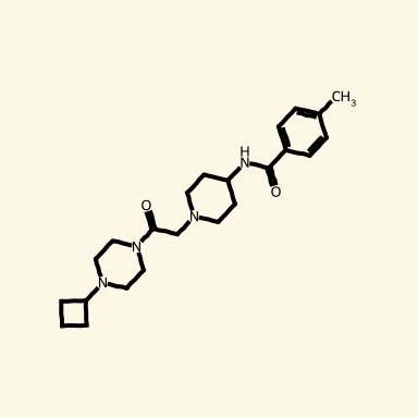 Cc1ccc(C(=O)NC2CCN(CC(=O)N3CCN(C4CCC4)CC3)CC2)cc1